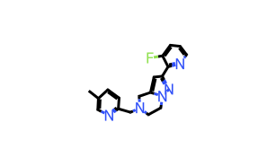 Cc1ccc(CN2CCn3nc(-c4ncccc4F)cc3C2)nc1